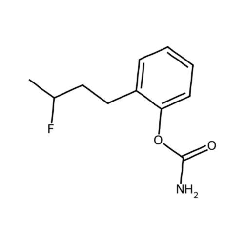 CC(F)CCc1ccccc1OC(N)=O